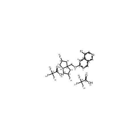 Fc1cncc2cnc(OCC34CC(F)CN3CC(F)C4)nc12.O=C(O)C(F)(F)F.O=C(O)C(F)(F)F